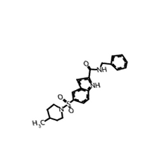 CC1CCN(S(=O)(=O)c2ccc3[nH]c(C(=O)NCc4ccccc4)cc3c2)CC1